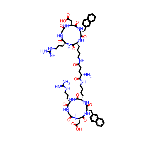 N=C(N)NCCC[C@@H]1NC(=O)[C@H](CCCCNC(=O)CC[C@H](N)C(=O)NCCCC[C@@H]2NC(=O)[C@@H](Cc3ccc4ccccc4c3)NC(=O)[C@H](CC(=O)O)NC(=O)CNC(=O)[C@H](CCCNC(=N)N)NC2=O)NC(=O)[C@@H](Cc2ccc3ccccc3c2)NC(=O)[C@H](CC(=O)O)NC(=O)CNC1=O